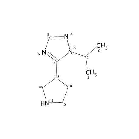 CC(C)n1ncnc1C1CCNC1